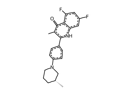 Cc1c(-c2ccc(N3CCC[C@@H](C)C3)cc2)[nH]c2cc(F)cc(F)c2c1=O